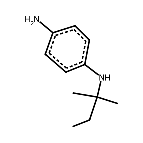 CCC(C)(C)Nc1ccc(N)cc1